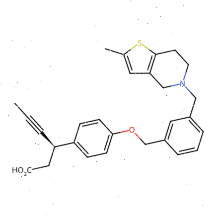 CC#C[C@H](CC(=O)O)c1ccc(OCc2cccc(CN3CCc4sc(C)cc4C3)c2)cc1